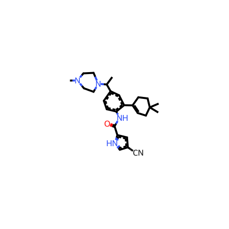 CC(c1ccc(NC(=O)c2cc(C#N)c[nH]2)c(C2=CCC(C)(C)CC2)c1)N1CCN(C)CC1